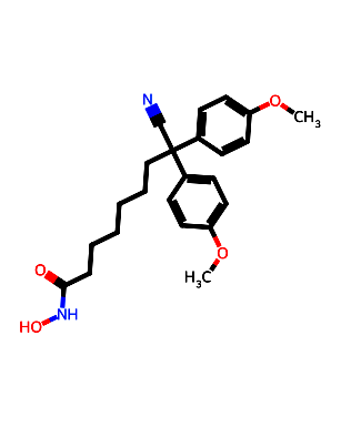 COc1ccc(C(C#N)(CCCCCCC(=O)NO)c2ccc(OC)cc2)cc1